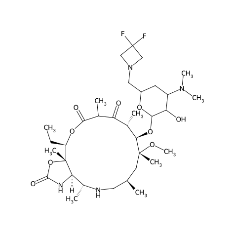 CC[C@H]1OC(=O)C(C)C(=O)[C@H](C)[C@@H](OC2OC(CN3CC(F)(F)C3)CC(N(C)C)C2O)[C@](C)(OC)C[C@@H](C)CN[C@H](C)[C@H]2NC(=O)O[C@@]21C